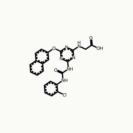 O=C(O)CNc1nc(NC(=O)Nc2ccccc2Cl)nc(Oc2ccc3ccccc3c2)n1